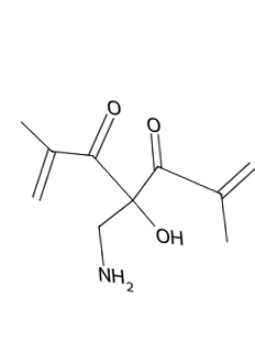 C=C(C)C(=O)C(O)(CN)C(=O)C(=C)C